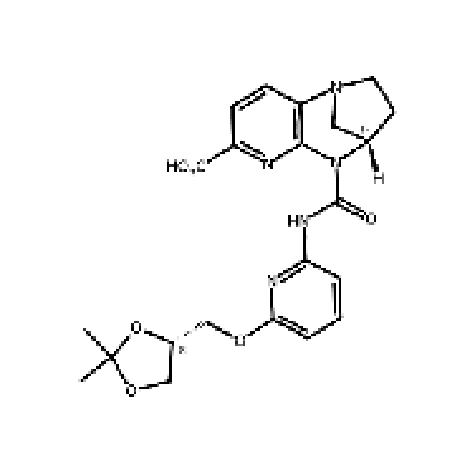 CC1(C)OC[C@@H](COc2cccc(NC(=O)N3c4nc(C(=O)O)ccc4N4CC[C@H]3C4)n2)O1